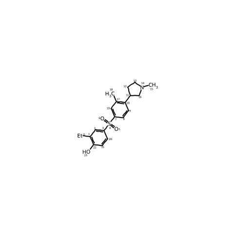 CCc1cc(S(=O)(=O)c2ccc(C3CCN(C)C3)c(C)c2)ccc1O